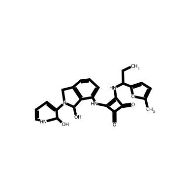 CCC(Nc1c(Nc2cccc3c2C(O)N(C2=CC=CNC2O)C3)c(=O)c1=O)c1ccc(C)o1